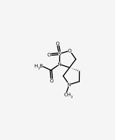 BC(=O)N1[C@@]2(CCN(C)C2)COS1(=O)=O